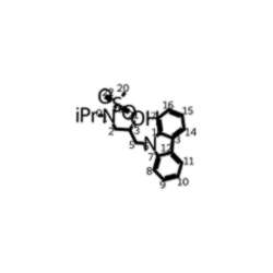 CC(C)N(CC(O)Cn1c2ccccc2c2ccccc21)S(C)(=O)=O